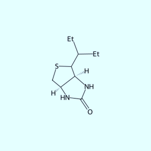 CCC(CC)C1SC[C@@H]2NC(=O)N[C@H]12